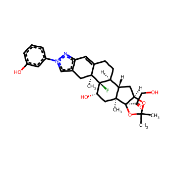 CC1(C)O[C@@H]2C[C@H]3[C@@H]4CCC5=Cc6nn(-c7cccc(O)c7)cc6C[C@]5(C)[C@@]4(F)[C@@H](O)C[C@]3(C)[C@]2(C(=O)CO)O1